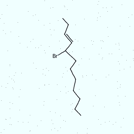 CCC=CC(Br)CCCCCCC